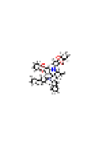 Cc1cc2c3c(c1)N(c1ccc4c(c1)Oc1ccccc1O4)c1cc4c(cc1B3N(c1ccc(-c3ccccc3)cc1)c1cc3ccccc3cc1-2)Oc1ccccc1O4